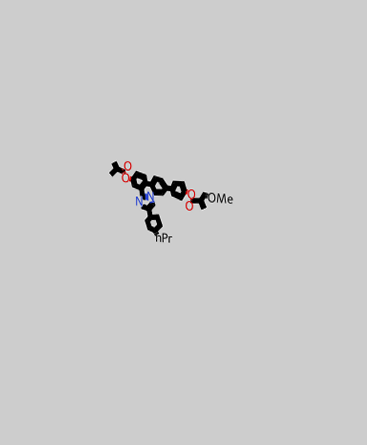 C=C(C)C(=O)Oc1ccc(-c2ccc(-c3ccc(OC(=O)C(=C)COC)cc3)cc2)c(-c2ncc(C3CCC(CCC)CC3)cn2)c1